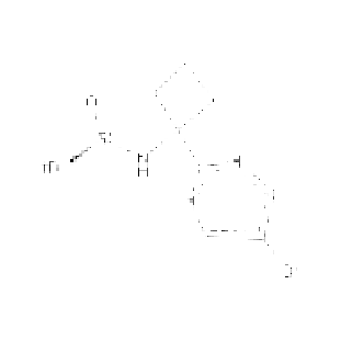 CC(C)(C)[S@@+]([O-])NC1(c2ncc(Br)cn2)CCC1